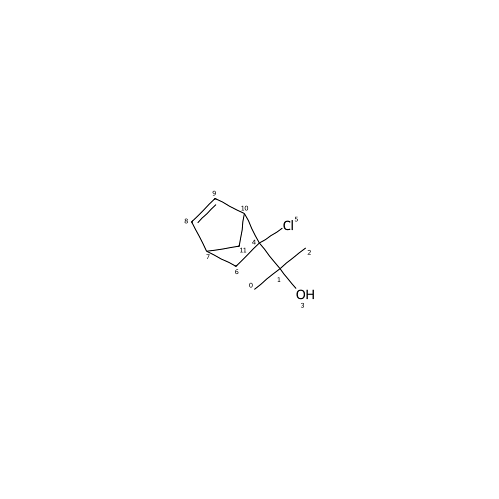 CC(C)(O)C1(Cl)CC2C=CC1C2